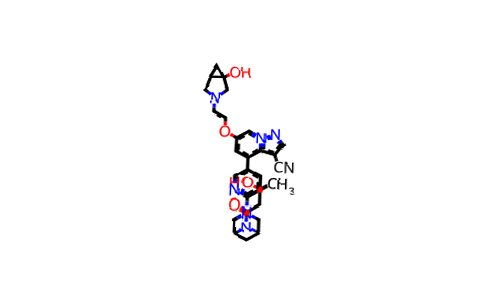 CC(O)CC(=O)N1C2CC1CN(c1ccc(-c3cc(OCCN4CC5CC5(O)C4)cn4ncc(C#N)c34)cn1)C2